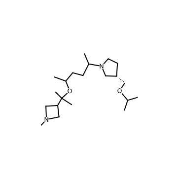 CC(C)OC[C@H]1CCN(C(C)CCC(C)OC(C)(C)C2CN(C)C2)C1